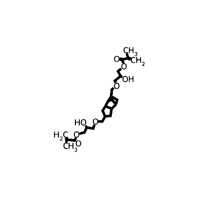 C=C(C)C(=O)OCC(O)COCC1CC2C3CC(COCC(O)COC(=O)C(=C)C)C(C3)C2C1